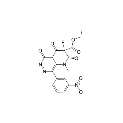 CCOC(=O)C1(F)C(=O)C2C(=O)N=NC(c3cccc([N+](=O)[O-])c3)=C2N(C)C1=O